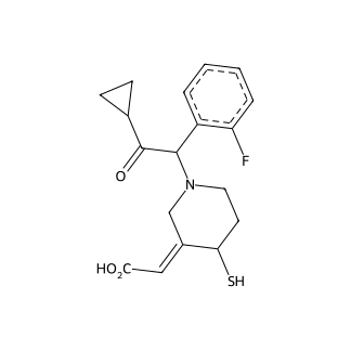 O=C(O)/C=C1\CN(C(C(=O)C2CC2)c2ccccc2F)CCC1S